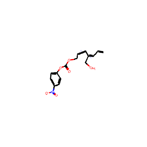 C=C/C=C(\C=C/COC(=O)Oc1ccc([N+](=O)[O-])cc1)CO